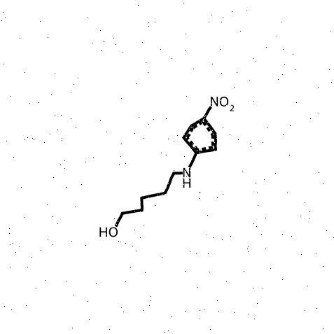 O=[N+]([O-])c1ccc(NCCCCCO)cc1